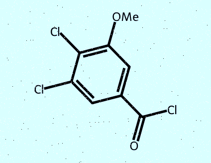 COc1cc(C(=O)Cl)cc(Cl)c1Cl